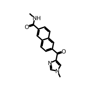 CNC(=O)c1ccc2cc(C(=O)c3cn(C)cn3)ccc2c1